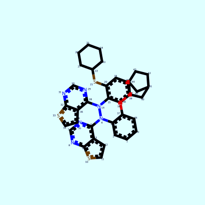 c1ccc(N(c2ncnc3sccc23)N(c2ccccc2SC2CCCCC2)c2ncnc3sccc23)c(OC2CC3CCC2C3)c1